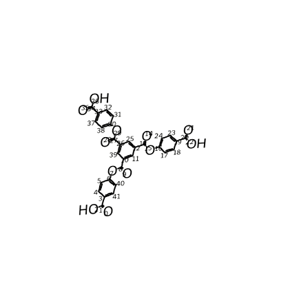 O=C(O)c1ccc(OC(=O)c2cc(C(=O)Oc3ccc(C(=O)O)cc3)cc(C(=O)Oc3ccc(C(=O)O)cc3)c2)cc1